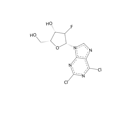 OC[C@H]1O[C@@H](n2cnc3c(Cl)nc(Cl)nc32)C(F)[C@H]1O